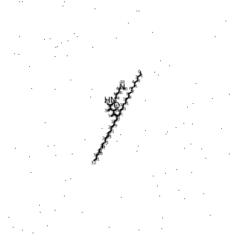 CCCCCCCCCCCCCCCCC(CCCCCCCCCCCCCCCC)=C(C)C(C)C(C)C(C)C(=O)NCCCCN(C)C